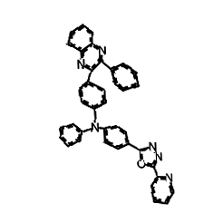 c1ccc(-c2nc3ccccc3nc2-c2ccc(N(c3ccccc3)c3ccc(-c4nnc(-c5ccccn5)o4)cc3)cc2)cc1